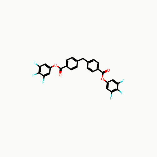 O=C(Oc1cc(F)c(F)c(F)c1)c1ccc(Cc2ccc(C(=O)Oc3cc(F)c(F)c(F)c3)cc2)cc1